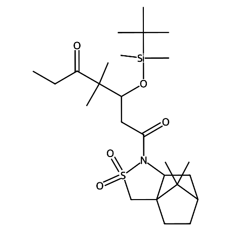 CCC(=O)C(C)(C)C(CC(=O)N1C2CC3CCC2(CS1(=O)=O)C3(C)C)O[Si](C)(C)C(C)(C)C